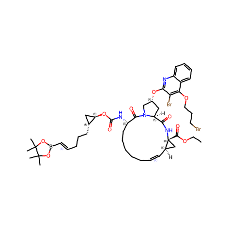 CCOC(=O)[C@@]12C[C@H]1/C=C\CCCCC[C@H](NC(=O)O[C@@H]1C[C@H]1CCC/C=C/B1OC(C)(C)C(C)(C)O1)C(=O)N1C[C@H](Oc3nc4ccccc4c(OCCCBr)c3Br)C[C@H]1C(=O)N2